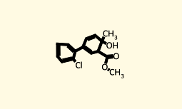 COC(=O)C1C=C(c2ccccc2Cl)C=CC1(C)O